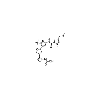 COCc1cc(C(=O)Nc2cc(C3CC(C4C5CC4(NC(=O)O)C5)CO3)n(C(C)(C)C)n2)n(C)n1